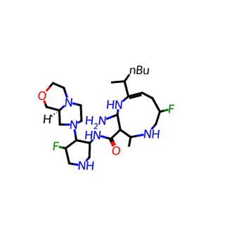 CCCCC(C)/C1=C/CC(F)CNC(C)C(C(=O)NC2CNCC(F)C2N2CCN3CCOC[C@@H]3C2)C(N)N1